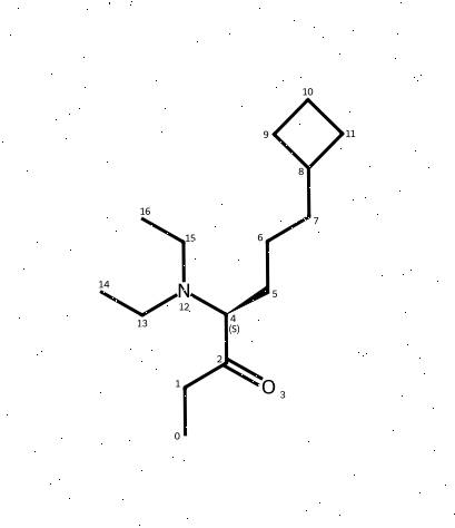 CCC(=O)[C@H](CCCC1CCC1)N(CC)CC